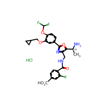 C[C@H](N)c1oc(-c2ccc(OC(F)F)c(OCC3CC3)c2)nc1CNC(=O)c1ccc(C(=O)O)cc1F.Cl